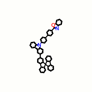 c1ccc2c(c1)-c1ccccc1C21c2ccccc2-c2ccc(-c3ccc4c(c3)c3ccccc3n4-c3ccc(-c4ccc(-c5nc6ccccc6o5)cc4)cc3)cc21